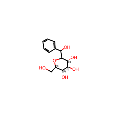 OC[C@H]1OC(C(O)c2ccccc2)[C@H](O)[C@@H](O)[C@@H]1O